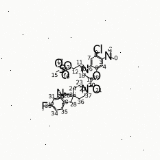 CN(C)c1cc2c(cc1Cl)N(CCOS(C)(=O)=O)CC(C(=O)N1CCC(C#N)(Cc3ccc(F)cc3)CC1)O2